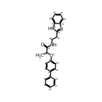 CC(Oc1ccc(-c2ccccc2)cc1)C(=O)NCCc1nc2ccccc2[nH]1